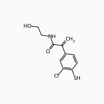 C=C(C(=O)NCCO)c1ccc(S)c(Cl)c1